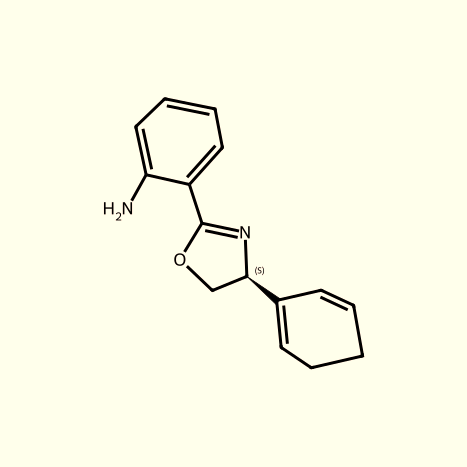 Nc1ccccc1C1=N[C@@H](C2=CCCC=C2)CO1